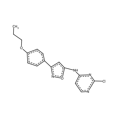 CCCOc1ccc(-c2cc(Nc3ccnc(Cl)n3)on2)cc1